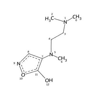 CN(C)CCN(C)c1cnoc1O